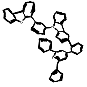 c1ccc(-c2cc(-c3ccccc3-c3ccc4c(c3)c3ccccc3n4-c3cccc(-c4cccc5c4oc4ccccc45)c3)cc(-c3ccccc3)n2)cc1